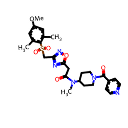 COc1cc(C)c(S(=O)(=O)Cc2noc(CC(=O)N(C)C3CCN(C(=O)c4ccncc4)CC3)n2)c(C)c1